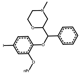 CCCOc1cc(I)ccc1OC(c1ccccc1)C1CN(C)CCO1